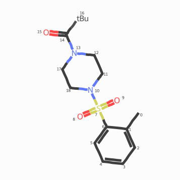 Cc1ccccc1S(=O)(=O)N1CCN(C(=O)C(C)(C)C)CC1